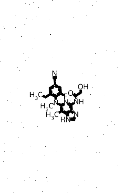 CCc1cc(C#N)cc(F)c1N(C)c1nc(NC(=O)CO)c2nc[nH]c2c1C